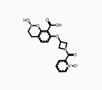 O=C(O)c1c(OC2CN(C(=O)c3cccc[n+]3[O-])C2)ccc2c1OB(O)CC2